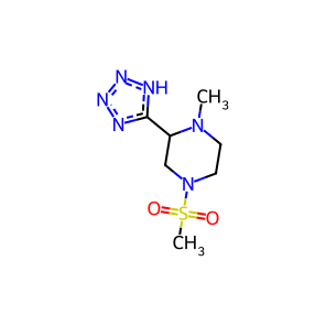 CN1CCN(S(C)(=O)=O)CC1c1nnn[nH]1